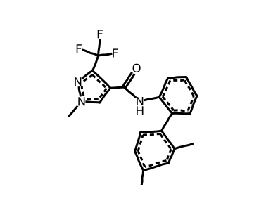 Cc1ccc(-c2ccccc2NC(=O)c2cn(C)nc2C(F)(F)F)c(C)c1